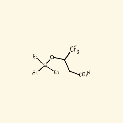 CC[Si](CC)(CC)OC(CC(=O)O)C(F)(F)F